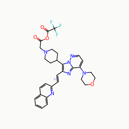 O=C(CN1CCC(c2c(/C=C/c3ccc4ccccc4n3)nc3c(N4CCOCC4)ccnn23)CC1)OC(=O)C(F)(F)F